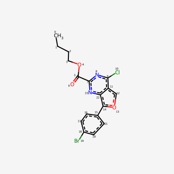 CCCCOC(=O)c1nc(Cl)c2coc(-c3ccc(Br)cc3)c2n1